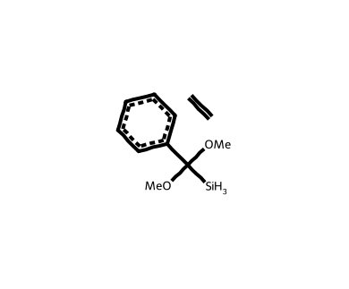 C=C.COC([SiH3])(OC)c1ccccc1